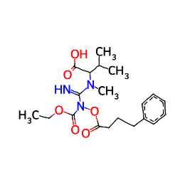 CCOC(=O)N(OC(=O)CCCc1ccccc1)C(=N)N(C)C(C(=O)O)C(C)C